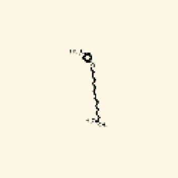 C=C(C)CCCCCCCCCCCCCCOc1ccc(C(=O)O)cc1